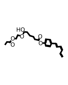 C=C/C=C\C=C\c1ccc(OC(=O)CCCCC(O)OCCOC(=O)CC)cc1